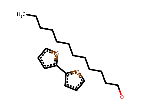 CCCCCCCCCCCC[O].c1csc(-c2cccs2)c1